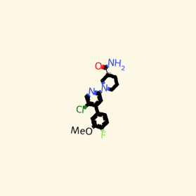 COc1cc(-c2cc(N3CCC[C@@H](C(N)=O)C3)ncc2Cl)ccc1F